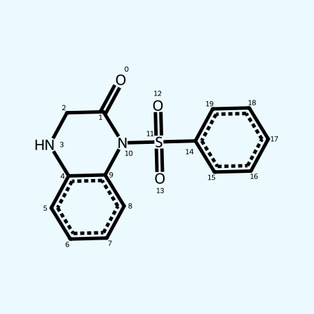 O=C1CNc2ccccc2N1S(=O)(=O)c1ccccc1